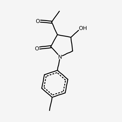 CC(=O)C1C(=O)N(c2ccc(C)cc2)CC1O